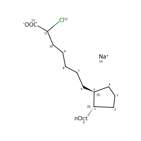 CCCCCCCC[C@H]1CCC[C@@H]1CCCCCC(Cl)C(=O)[O-].[Na+]